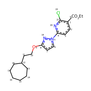 CCOC(=O)c1ccc(-n2ccc(OCCC3CCCCCC3)n2)nc1Cl